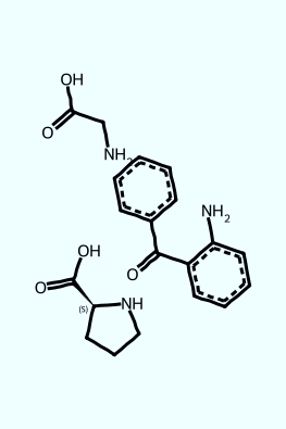 NCC(=O)O.Nc1ccccc1C(=O)c1ccccc1.O=C(O)[C@@H]1CCCN1